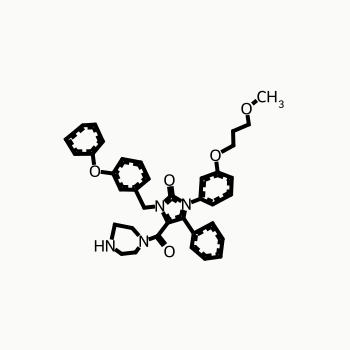 COCCCOc1cccc(-n2c(-c3ccccc3)c(C(=O)N3CCNCC3)n(Cc3cccc(Oc4ccccc4)c3)c2=O)c1